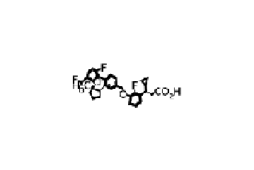 CC1(C)CCC[C@@H]1c1cc(COc2cccc([C@H](CC(=O)O)C3CC3)c2F)ccc1-c1cc(C(F)F)ccc1F